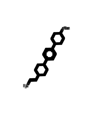 CCCCCCCCCC1CCC(c2ccc(C3CCC(C=CC(F)(F)F)CC3)cc2)CC1